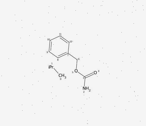 CC(C)C.NC(=O)OCc1ccccc1